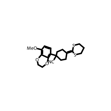 COc1ccc(C2(C#N)CCC(=C3SCCCS3)CC2)c2c1OCCO2